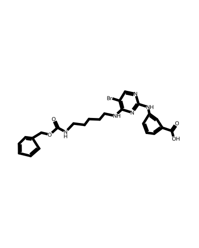 O=C(NCCCCCNc1nc(Nc2cccc(C(=O)O)c2)ncc1Br)OCc1ccccc1